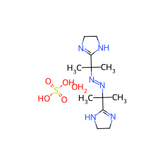 CC(C)(N=NC(C)(C)C1=NCCN1)C1=NCCN1.O.O=S(=O)(O)O